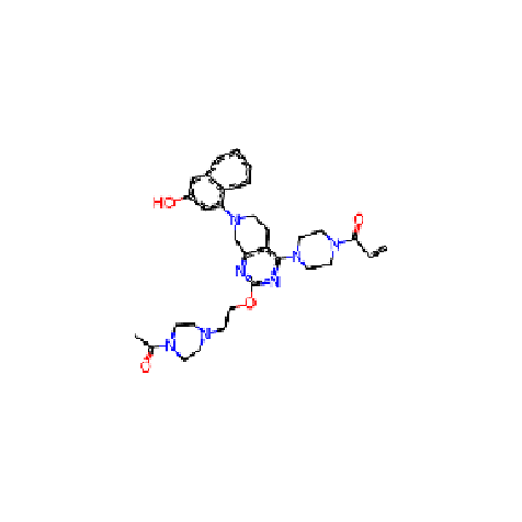 C=CC(=O)N1CCN(c2nc(OCCN3CCN(C(C)=O)CC3)nc3c2CCN(c2cc(O)cc4ccccc24)C3)CC1